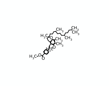 CCOC(=O)c1ccc(C=Cc2c3c(c(C)c(C)c2OC)OC(C)(CCCC(C)CCCC(C)CCCC(C)C)CC3)cc1